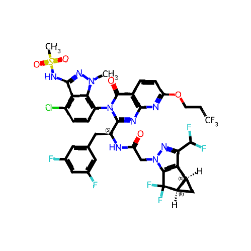 Cn1nc(NS(C)(=O)=O)c2c(Cl)ccc(-n3c([C@H](Cc4cc(F)cc(F)c4)NC(=O)Cn4nc(C(F)F)c5c4C(F)(F)[C@@H]4C[C@H]54)nc4nc(OCCC(F)(F)F)ccc4c3=O)c21